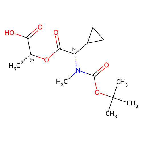 C[C@@H](OC(=O)[C@H](C1CC1)N(C)C(=O)OC(C)(C)C)C(=O)O